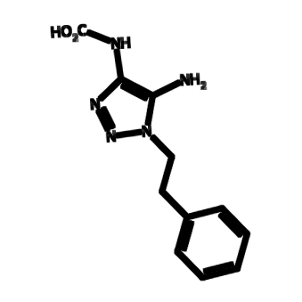 Nc1c(NC(=O)O)nnn1CCc1ccccc1